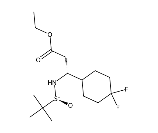 CCOC(=O)C[C@@H](N[S@@+]([O-])C(C)(C)C)C1CCC(F)(F)CC1